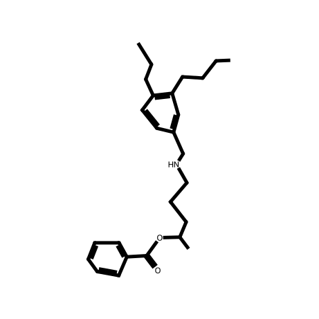 CCCCc1cc(CNCCCC(C)OC(=O)c2ccccc2)ccc1CCC